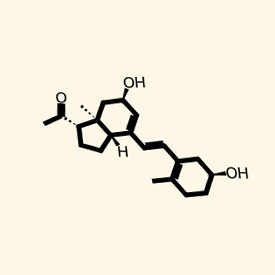 CC(=O)[C@H]1CC[C@H]2C(/C=C/C3=C(C)CC[C@H](O)C3)=C[C@H](O)C[C@]12C